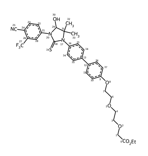 CCOC(=O)COCCOCCOc1ccc(-c2ccc(N3C(=S)N(c4ccc(C#N)c(C(F)(F)F)c4)C(O)C3(C)C)cc2)cc1